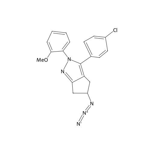 COc1ccccc1-n1nc2c(c1-c1ccc(Cl)cc1)CC(N=[N+]=[N-])C2